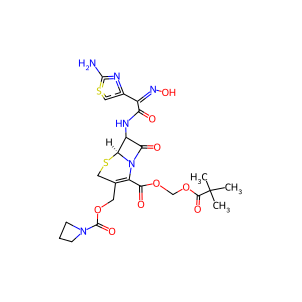 CC(C)(C)C(=O)OCOC(=O)C1=C(COC(=O)N2CCC2)CS[C@H]2C(NC(=O)/C(=N\O)c3csc(N)n3)C(=O)N12